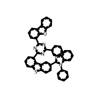 c1ccc(-c2nc(-c3cccc4c3oc3ccccc34)nc(-c3cccc4sc5ccc(-c6nc7ccccc7n6-c6ccccc6)cc5c34)n2)cc1